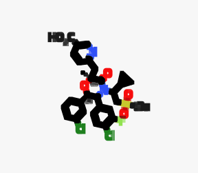 CC(C)(C)S(=O)(=O)CC(C1CC1)N1C(=O)[C@](C)(Cc2ccc(C(=O)O)cn2)O[C@H](c2cccc(Cl)c2)C1c1ccc(Cl)c(F)c1